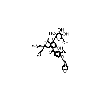 CCc1c(O[C@@H]2O[C@H](CO)[C@H](O)[C@H](O)[C@H]2O)cc(O)c(C(=O)c2ccc(OCCN3CCOCC3)c(OC)c2)c1CC(=O)N(CCOC)CCOC